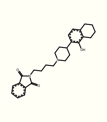 O=C1c2ccccc2C(=O)N1CCCCN1CCC(c2ccc3c(c2O)CCCC3)CC1